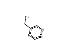 CC(C)(C)Cc1cnncn1